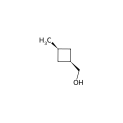 C[C@H]1C[C@@H](CO)C1